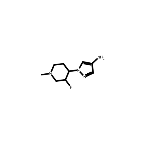 CN1CCC(n2cc(N)cn2)C(F)C1